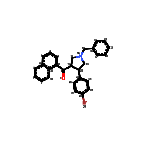 O=C(c1cccc2ccccc12)C1CN(Cc2ccccc2)CC1c1ccc(Br)cc1